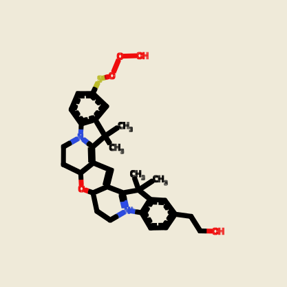 CC1(C)C2=C3C=C4C5=[N+](CCC4OC3CCN2c2ccc(SOOO)cc21)c1ccc(CCO)cc1C5(C)C